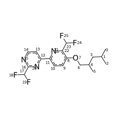 CC(C)CC(C)COc1ccc(-c2ccnc(C(F)F)n2)nc1C(F)F